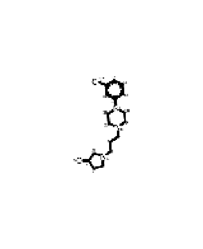 O=C1CCN(CCCN2CCN(c3cccc(Cl)c3)CC2)C1